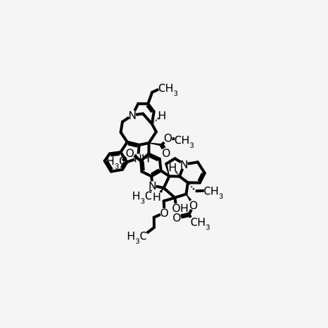 CCCOCC1(O)[C@H](OC(C)=O)[C@]2(CC)C=CCN3CC[C@@]4(c5cc([C@@]6(C(=O)OC)C[C@@H]7C=C(CC)CN(CCc8c6[nH]c6ccccc86)C7)c(OC)cc5N(C)[C@@H]14)[C@@H]32